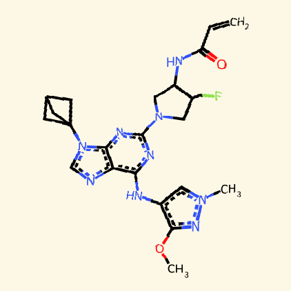 C=CC(=O)NC1CN(c2nc(Nc3cn(C)nc3OC)c3ncn(C45CC(C4)C5)c3n2)CC1F